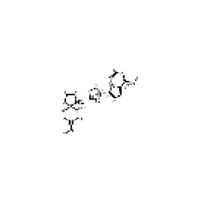 CCN1CCC2(CCCN2C[C@@H]2CC[C@H](c3ccc4c(SC)ncnn34)O2)CC1